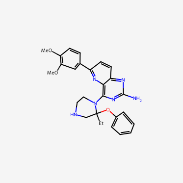 CCC1(Oc2ccccc2)CNCCN1c1nc(N)nc2ccc(-c3ccc(OC)c(OC)c3)nc12